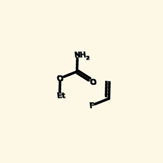 C=CF.CCOC(N)=O